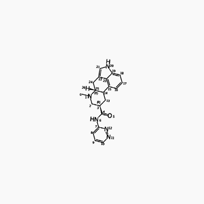 CN1C[C@H](C(=O)Nc2cccnn2)CC2c3cccc4[nH]cc(c34)C[C@H]21